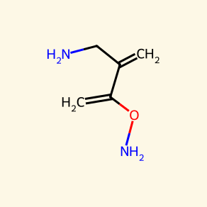 C=C(CN)C(=C)ON